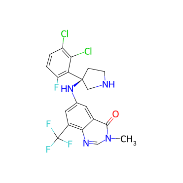 Cn1cnc2c(C(F)(F)F)cc(N[C@@]3(c4c(F)ccc(Cl)c4Cl)CCNC3)cc2c1=O